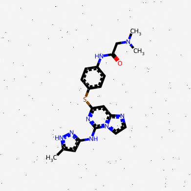 Cc1cc(Nc2nc(Sc3ccc(NC(=O)CN(C)C)cc3)cc3nccn23)n[nH]1